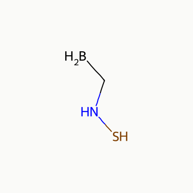 BCNS